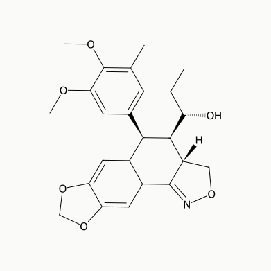 CC[C@H](O)[C@H]1[C@@H]2CON=C2C2C=C3OCOC3=CC2[C@H]1c1cc(C)c(OC)c(OC)c1